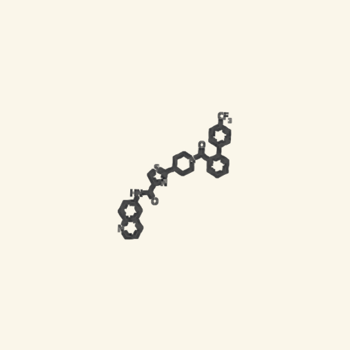 O=C(Nc1ccc2ncccc2c1)c1csc(C2CCN(C(=O)c3ccccc3-c3ccc(C(F)(F)F)cc3)CC2)n1